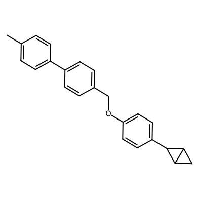 Cc1ccc(-c2ccc(COc3ccc(C4C5CC54)cc3)cc2)cc1